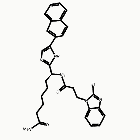 CCc1nc2ccccc2n1CCC(=O)N[C@@H](CCCCCC(=O)NC)c1ncc(-c2ccc3ccccc3c2)[nH]1